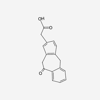 O=C(O)Cc1ccc2c(c1)CC(=O)c1ccccc1C2